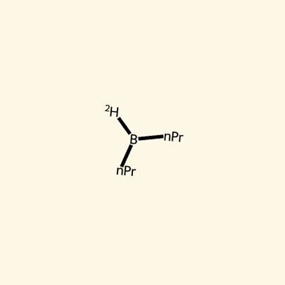 [2H]B(CCC)CCC